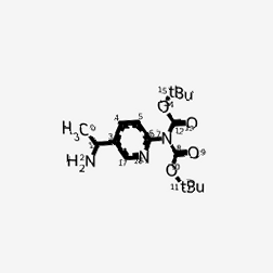 CC(N)c1ccc(N(C(=O)OC(C)(C)C)C(=O)OC(C)(C)C)nc1